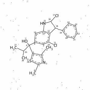 Cc1nc(C)c(C(O)(c2cc(Cl)c3c(c2)NC(Cl)C3c2ccccc2)C(C)C)s1